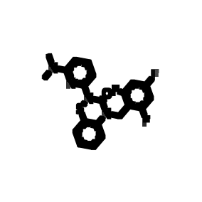 CN(C)c1cccc(N2Sc3ccccc3N(Cc3c(F)cc(F)cc3F)C2=O)n1